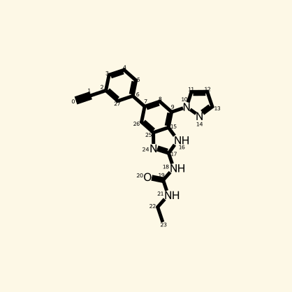 C#Cc1cccc(-c2cc(-n3cccn3)c3[nH]c(NC(=O)NCC)nc3c2)c1